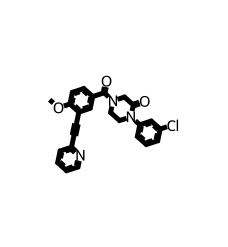 COc1ccc(C(=O)N2CCN(c3cccc(Cl)c3)C(=O)C2)cc1C#Cc1ccccn1